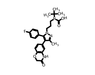 Cc1nn(CCCN(C(=O)O)C(C)(C)C)c(-c2ccc(F)cc2)c1-c1ccc2c(c1)NC(=O)CO2